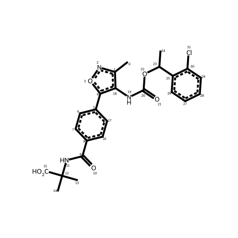 Cc1noc(-c2ccc(C(=O)NC(C)(C)C(=O)O)cc2)c1NC(=O)OC(C)c1ccccc1Cl